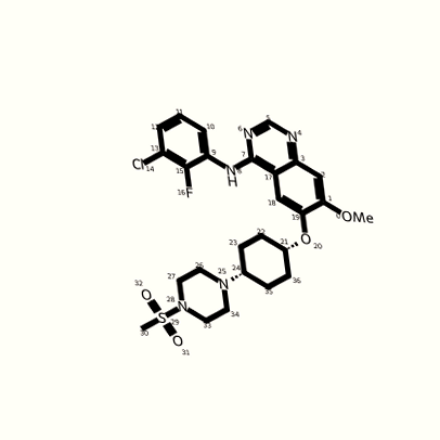 COc1cc2ncnc(Nc3cccc(Cl)c3F)c2cc1O[C@H]1CC[C@@H](N2CCN(S(C)(=O)=O)CC2)CC1